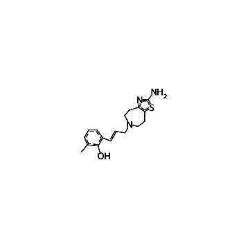 Cc1cccc(C=CCN2CCc3nc(N)sc3CC2)c1O